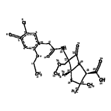 CCOc1cc(=O)c(Cl)cn1CC(=O)NC1(OC)C(=O)N2[C@@H](C(=O)O)C(C)(C)S[C@@H]21